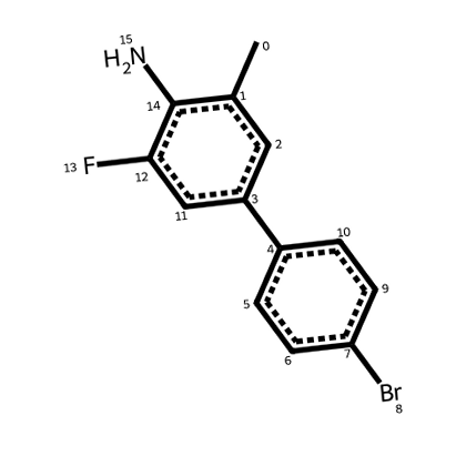 Cc1cc(-c2ccc(Br)cc2)cc(F)c1N